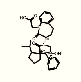 CC(C)C1CCCC1(Cc1ccccc1)C(=O)N(CP(=O)(O)O)[C@H]1CCc2ccccc2N(CC(=O)O)C1=O